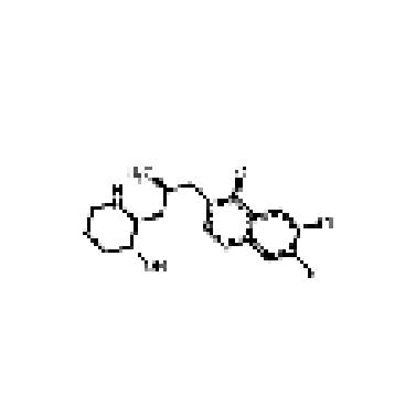 C=C(C[C@@H]1NCCC[C@H]1O)Cn1cnc2cc(Br)c(Cl)cc2c1=O